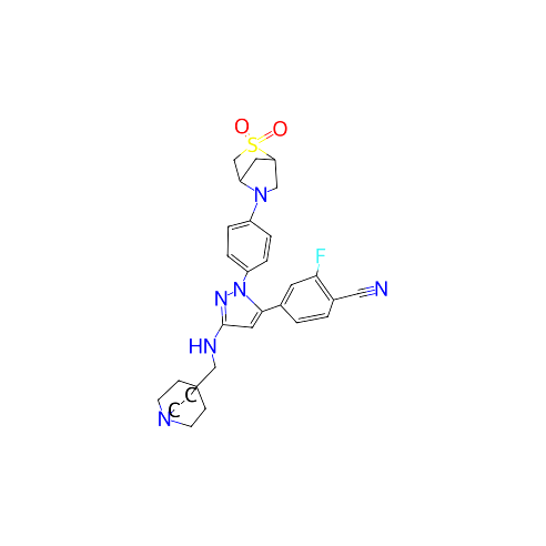 N#Cc1ccc(-c2cc(NCC34CCN(CC3)CC4)nn2-c2ccc(N3CC4CC3CS4(=O)=O)cc2)cc1F